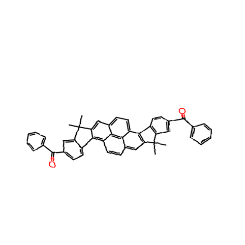 CC1(C)c2cc(C(=O)c3ccccc3)ccc2-c2c1cc1ccc3c4c(cc5ccc2c1c53)C(C)(C)c1cc(C(=O)c2ccccc2)ccc1-4